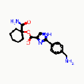 NCc1ccc(-c2nc(C(=O)OC3(C(N)=O)CCCCC3)c[nH]2)cc1